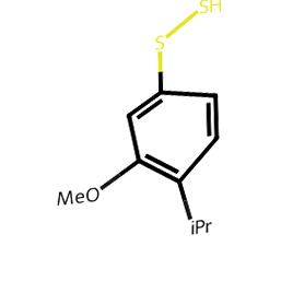 COc1cc(SS)ccc1C(C)C